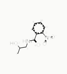 CC(O)CNC(=O)c1ccccc1[N+](=O)[O-]